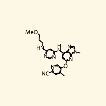 COCCCNc1cc(Nc2cc(Oc3cnc(C#N)cc3C)nc3c2ncn3C)ncn1